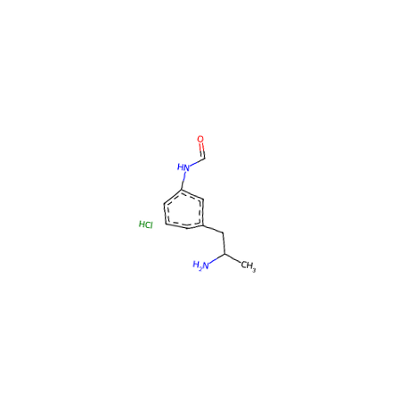 CC(N)Cc1cccc(NC=O)c1.Cl